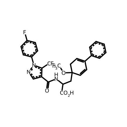 O=C(NC(CC1(OC(F)(F)F)C=CC(c2ccccc2)=CC1)C(=O)O)c1cnn(-c2ccc(F)cc2)c1C(F)(F)F